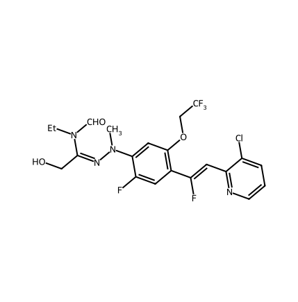 CCN(C=O)/C(CO)=N\N(C)c1cc(OCC(F)(F)F)c(/C(F)=C/c2ncccc2Cl)cc1F